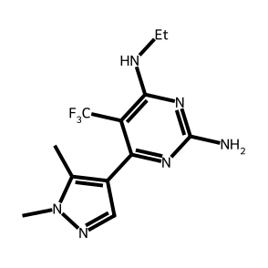 CCNc1nc(N)nc(-c2cnn(C)c2C)c1C(F)(F)F